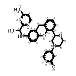 Cc1ccnc(C(C)Nc2ccc3c(c2)Cc2cccc(C4CN(c5cc[nH]c(=O)c5)CCO4)c2O3)n1